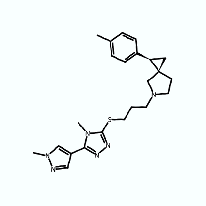 Cc1ccc([C@H]2C[C@]23CCN(CCCSc2nnc(-c4cnn(C)c4)n2C)C3)cc1